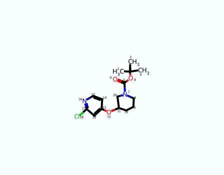 CC(C)(C)OC(=O)N1CCCC(Oc2ccnc(Cl)c2)C1